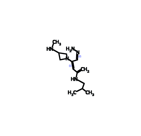 C=C(/C=C(\C=N/N)N1CC(NC)C1)NCC(C)C